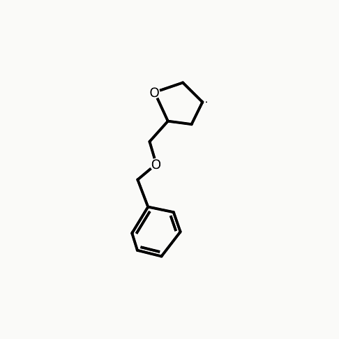 [CH]1COC(COCc2ccccc2)C1